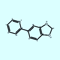 [c]1ccnc(-c2ccc3c(c2)OCO3)c1